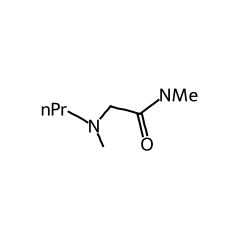 [CH2]CCN(C)CC(=O)NC